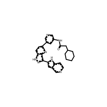 O=C(CC1CCCCC1)Nc1cncc(-c2ccc3[nH]nc(-c4cc5cnccc5[nH]4)c3n2)c1